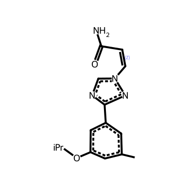 Cc1cc(OC(C)C)cc(-c2ncn(/C=C\C(N)=O)n2)c1